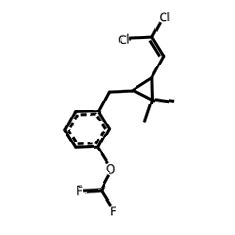 CC1(C)C(C=C(Cl)Cl)C1Cc1cccc(OC(F)F)c1